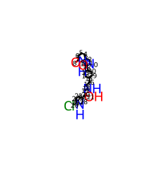 CN(Cc1cccc(=O)[nH]1)C(=O)c1ccc(CCNCC(O)C2=CC=C(Cl)NC2)cc1